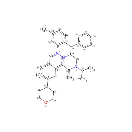 C=C1C=NN2C(=C1CC(=C)C1CCOCC1)C(=C)N(C(C)C)CC2C(c1ccccc1)c1ccc(C)cc1